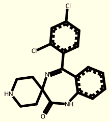 O=C1Nc2ccccc2C(c2ccc(Cl)cc2Cl)=NC12CCNCC2